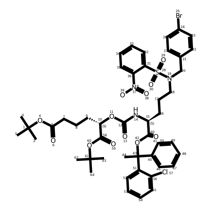 CC(C)(C)OC(=O)CCC[C@H](OC(=O)N[C@@H](CCCN(Cc1ccc(Br)cc1)S(=O)(=O)c1ccccc1[N+](=O)[O-])C(=O)OC(C)(c1ccccc1)c1ccccc1Cl)C(=O)OC(C)(C)C